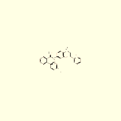 CN(CCc1ccccn1)c1ccc(NC(=O)c2ccccc2-c2ccc(C(F)(F)F)cc2)cc1F